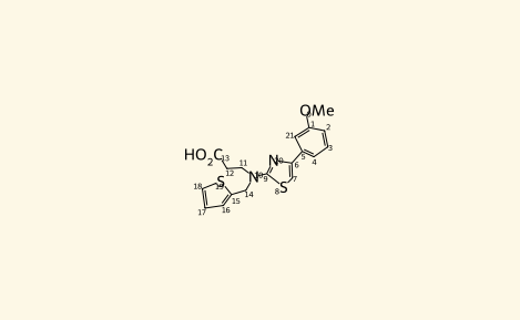 COc1cccc(-c2csc(N(CCC(=O)O)Cc3cccs3)n2)c1